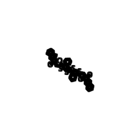 O=C1C(=Cc2cc3c(s2)-c2sc4c5c(sc4c2C32CCCCC2)-c2sc(C=C3C(=O)c4cc6ccccc6cc4C3=O)cc2C52CCCCC2)C(=O)c2cc3ccccc3cc21